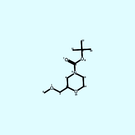 COCC1CN(C(=O)OC(C)(C)C)CCO1